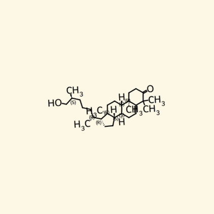 C[C@H](CO)CCC[C@@H](C)[C@H]1CC[C@H]2[C@@H]3CC=C4C(C)(C)C(=O)CC[C@]4(C)[C@H]3CC[C@]12C